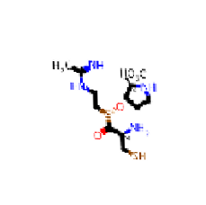 CC(=N)NCC[S+]([O-])C(=O)[C@@H](N)CS.O=C(O)[C@@H]1CCCN1